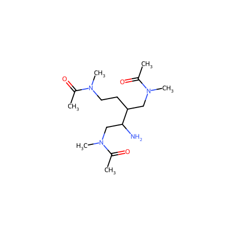 CC(=O)N(C)CCC(CN(C)C(C)=O)C(N)CN(C)C(C)=O